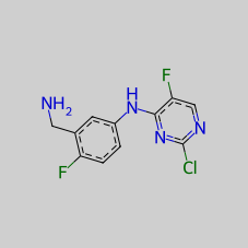 NCc1cc(Nc2nc(Cl)ncc2F)ccc1F